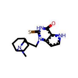 CN1C2CCC(CC2)C1Cn1c(=S)[nH]c(=O)c2[nH]ccc21